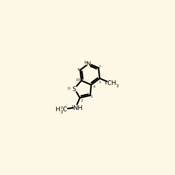 CNc1cc2c(C)cncc2s1